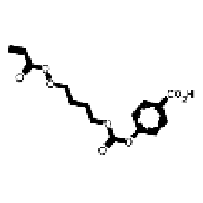 C=CC(=O)OOCCCCOC(=O)Oc1ccc(C(=O)O)cc1